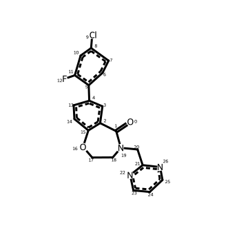 O=C1c2cc(-c3ccc(Cl)cc3F)ccc2OCCN1Cc1ncccn1